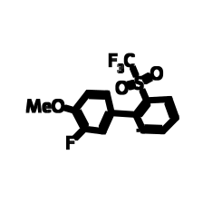 COc1ccc(-c2[c]cccc2S(=O)(=O)C(F)(F)F)cc1F